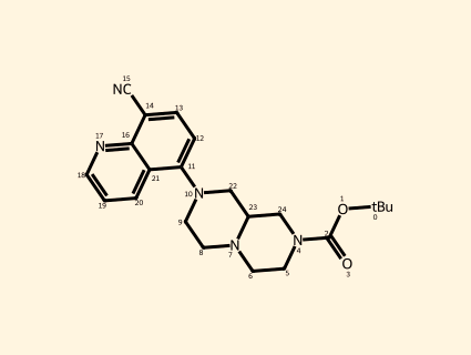 CC(C)(C)OC(=O)N1CCN2CCN(c3ccc(C#N)c4ncccc34)CC2C1